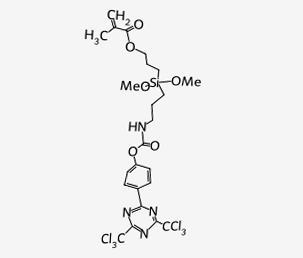 C=C(C)C(=O)OCCC[Si](CCCNC(=O)Oc1ccc(-c2nc(C(Cl)(Cl)Cl)nc(C(Cl)(Cl)Cl)n2)cc1)(OC)OC